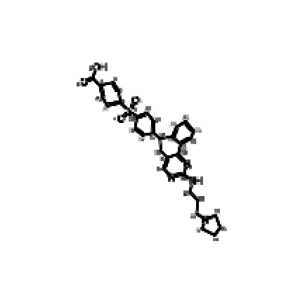 O=C(O)c1ccc(S(=O)(=O)c2ccc(C3Cc4cnc(NCCCN5CCCC5)nc4-c4ccccc43)cc2)cc1